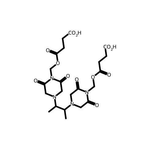 CC(C(C)N1CC(=O)N(COC(=O)CCC(=O)O)C(=O)C1)N1CC(=O)N(COC(=O)CCC(=O)O)C(=O)C1